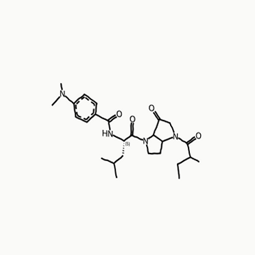 CCC(C)C(=O)N1CC(=O)C2C1CCN2C(=O)[C@H](CC(C)C)NC(=O)c1ccc(N(C)C)cc1